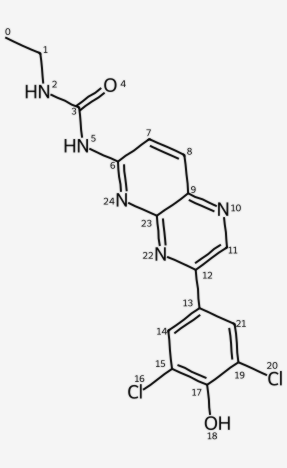 CCNC(=O)Nc1ccc2ncc(-c3cc(Cl)c(O)c(Cl)c3)nc2n1